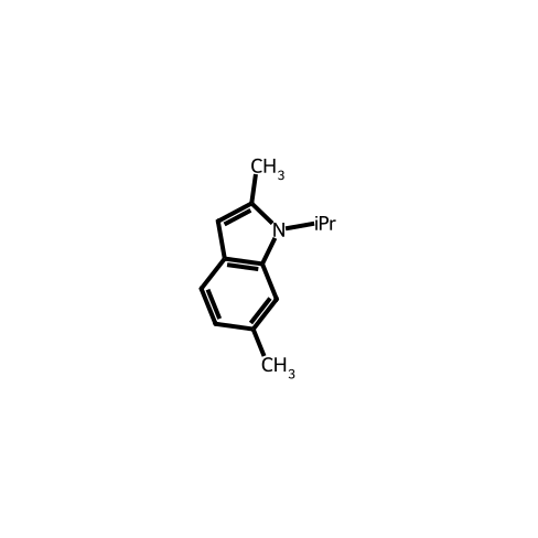 Cc1ccc2cc(C)n(C(C)C)c2c1